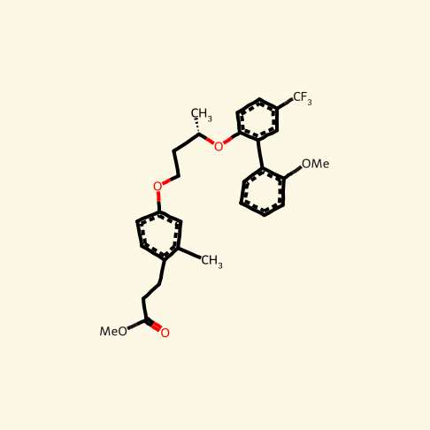 COC(=O)CCc1ccc(OCC[C@H](C)Oc2ccc(C(F)(F)F)cc2-c2ccccc2OC)cc1C